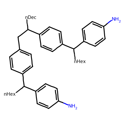 CCCCCCCCCCC(Cc1ccc(C(CCCCCC)c2ccc(N)cc2)cc1)c1ccc(C(CCCCCC)c2ccc(N)cc2)cc1